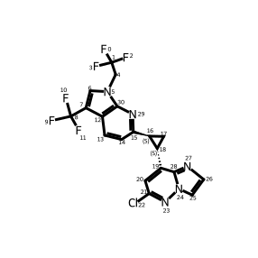 FC(F)(F)Cn1cc(C(F)(F)F)c2ccc([C@H]3C[C@@H]3c3cc(Cl)nn4ccnc34)nc21